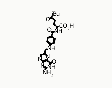 CCC(C)C(=O)CC[C@H](NC(=O)c1ccc(NCc2cnc3nc(N)[nH]c(=O)c3n2)cc1)C(=O)O